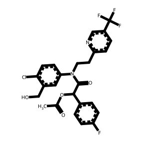 CC(=O)OC(C(=O)N(CCc1ccc(C(F)(F)F)cn1)c1ccc(Cl)c(CO)c1)c1ccc(F)cc1